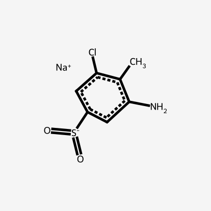 Cc1c(N)cc([S-](=O)=O)cc1Cl.[Na+]